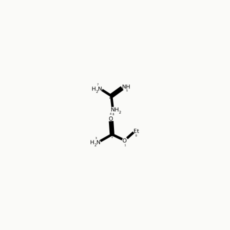 CCOC(N)=O.N=C(N)N